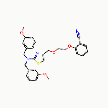 COc1cccc(CN(Cc2cccc(OC)c2)c2nc(COCCOc3ccccc3C#N)cs2)c1